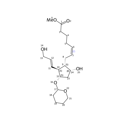 COC(=O)CCC/C=C\C[C@H]1[C@H](C=CCO)[C@@H](OC2CCCCO2)C[C@H]1O